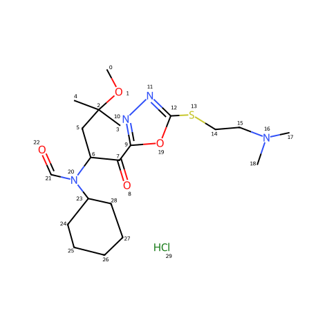 COC(C)(C)CC(C(=O)c1nnc(SCCN(C)C)o1)N(C=O)C1CCCCC1.Cl